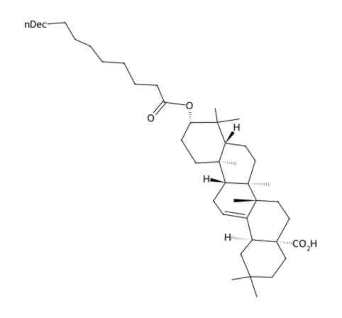 CCCCCCCCCCCCCCCCCC(=O)O[C@H]1CC[C@]2(C)[C@H]3CC=C4[C@@H]5CC(C)(C)CC[C@]5(C(=O)O)CC[C@@]4(C)[C@]3(C)CC[C@H]2C1(C)C